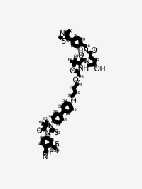 Cc1ncsc1-c1ccc(CNC(=O)C2C[C@@H](O)CN2C(=O)[C@@H](NC(=O)COCCCCOc2ccc(-c3ccc(N4C(=S)N(c5ccc(C#N)c(C(F)(F)F)c5)C(=O)C4(C)C)cc3)cc2)C(C)(C)C)cc1